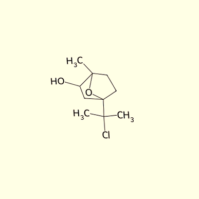 CC12CCC(C(C)(C)Cl)(CC1O)O2